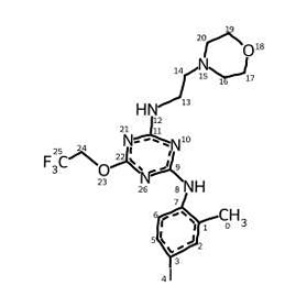 Cc1cc(I)ccc1Nc1nc(NCCN2CCOCC2)nc(OCC(F)(F)F)n1